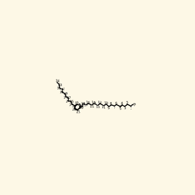 CCCCCCCCCCCCCCCCCCC[n+]1cccc(CCCCCCCCCCC)c1